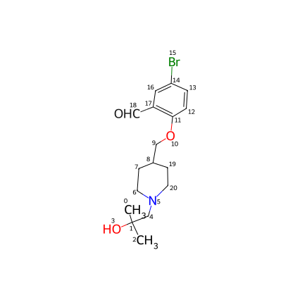 CC(C)(O)CN1CCC(COc2ccc(Br)cc2C=O)CC1